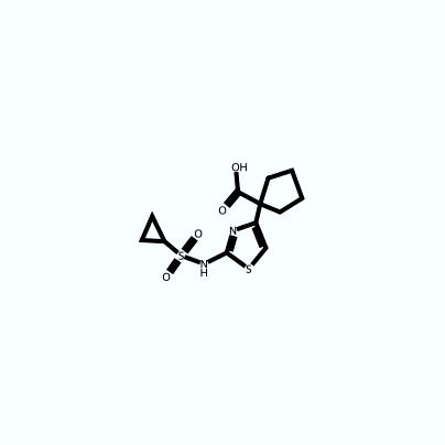 O=C(O)C1(c2csc(NS(=O)(=O)C3CC3)n2)CCCC1